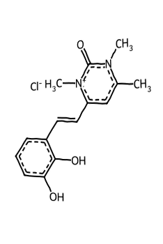 Cc1cc(C=Cc2cccc(O)c2O)[n+](C)c(=O)n1C.[Cl-]